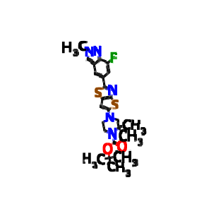 Cn1cc2cc(-c3nc4sc(N5CCN(C(=O)OC(C)(C)C)C(C)(C)C5)cc4s3)cc(F)c2n1